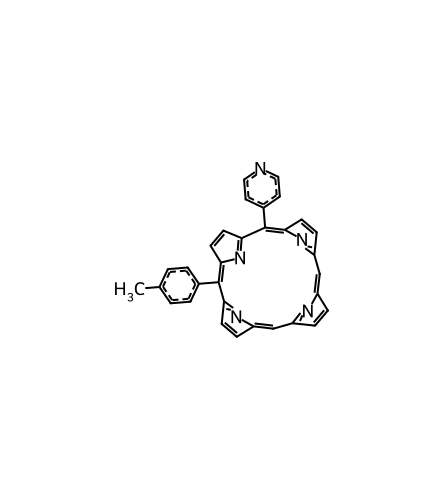 Cc1ccc(C2=C3C=CC(=N3)C(c3ccncc3)=C3C=CC(=N3)C=C3C=CC(=N3)C=C3C=CC2=N3)cc1